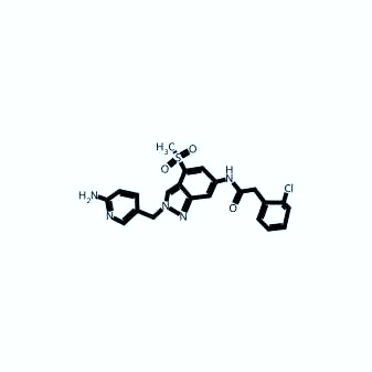 CS(=O)(=O)c1cc(NC(=O)Cc2ccccc2Cl)cc2nn(Cc3ccc(N)nc3)cc12